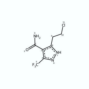 NC(=O)c1c(C(F)(F)F)n[nH]c1CCCl